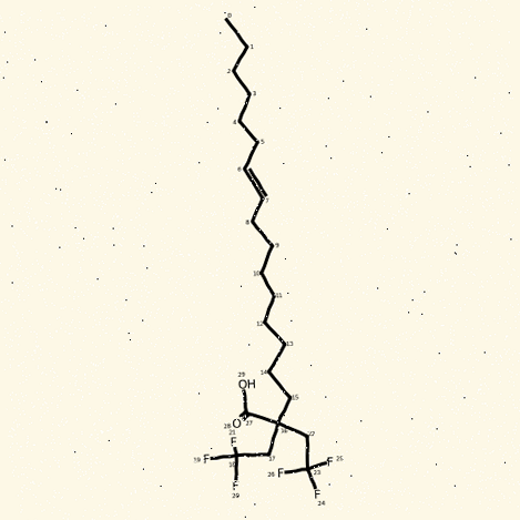 CCCCCCC=CCCCCCCCCC(CC(F)(F)F)(CC(F)(F)F)C(=O)O